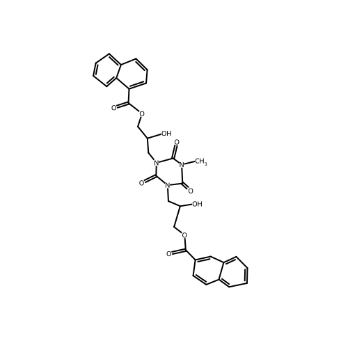 Cn1c(=O)n(CC(O)COC(=O)c2ccc3ccccc3c2)c(=O)n(CC(O)COC(=O)c2cccc3ccccc23)c1=O